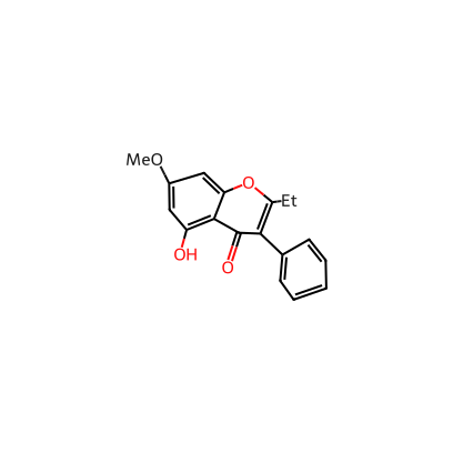 CCc1oc2cc(OC)cc(O)c2c(=O)c1-c1ccccc1